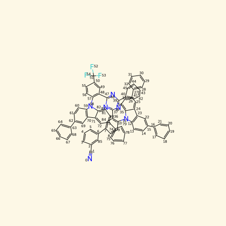 N#Cc1cccc(-c2ccc(-n3c4ccc(-c5ccccc5)cc4c4cc(-c5ccccc5)ccc43)c(-c3nc(-c4ccccc4)nc(-c4cc(C(F)(F)F)ccc4-n4c5ccc(-c6ccccc6)cc5c5cc(-c6ccccc6)ccc54)n3)c2)c1